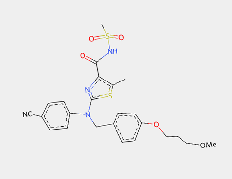 COCCCOc1ccc(CN(c2ccc(C#N)cc2)c2nc(C(=O)NS(C)(=O)=O)c(C)s2)cc1